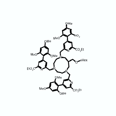 CCCCCCOCC1CN(Cc2cc(-c3c(OC)cc(OC)cc3OC)cc(C(=O)OCC)n2)CCN(Cc2cc(-c3c(OC)cc(OC)cc3OC)cc(C(=O)OCC)n2)CCN(Cc2cc(-c3c(OC)cc(OC)cc3[N+](=O)[O-])cc(C(=O)OCC)n2)C1